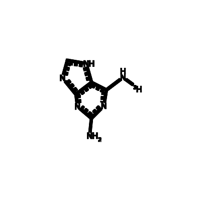 [3H]Nc1nc(N)nc2nc[nH]c12